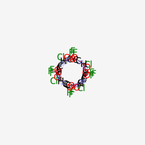 O=C1CCC/C=C\C[C@H]2C=C(Cl)C(=O)/C2=C/C[C@H](CCCCC(F)(F)F)OC(=O)CCC/C=C\C[C@H]2C=C(Cl)C(=O)/C2=C/C[C@H](CCCCC(F)(F)F)OC(=O)CCC/C=C\C[C@H]2C=C(Cl)C(=O)/C2=C/C[C@H](CCCCC(F)(F)F)OC(=O)CCC/C=C\C[C@H]2C=C(Cl)C(=O)/C2=C/C[C@H](CCCCC(F)(F)F)O1